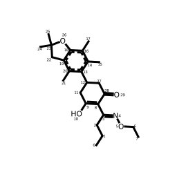 CCC/C(=N\OCC)C1=C(O)CC(c2c(C)c(C)c3c(c2C)CC(C)(C)O3)CC1=O